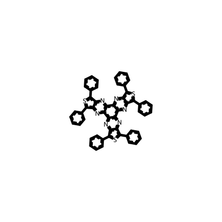 c1ccc(-c2sc(-c3ccccc3)c3nc4c(nc23)c2nc3c(-c5ccccc5)sc(-c5ccccc5)c3nc2c2nc3c(-c5ccccc5)sc(-c5ccccc5)c3nc42)cc1